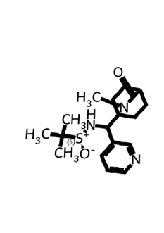 CN1C(=O)C2CCC1(C(N[S@+]([O-])C(C)(C)C)c1cccnc1)CC2